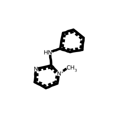 C[n+]1cccnc1Nc1ccccc1